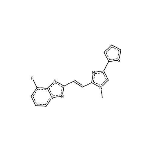 Cn1cc(-c2cccs2)nc1/C=C/c1nc2c(F)cccn2n1